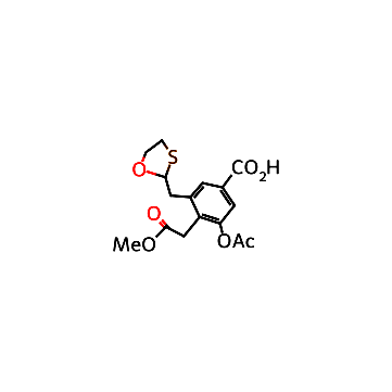 COC(=O)Cc1c(CC2OCCS2)cc(C(=O)O)cc1OC(C)=O